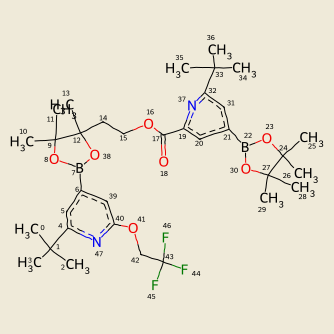 CC(C)(C)c1cc(B2OC(C)(C)C(C)(CCOC(=O)c3cc(B4OC(C)(C)C(C)(C)O4)cc(C(C)(C)C)n3)O2)cc(OCC(F)(F)F)n1